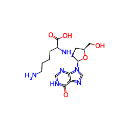 NCCCCC(N)C(=O)O.O=c1[nH]cnc2c1ncn2[C@H]1CC[C@@H](CO)O1